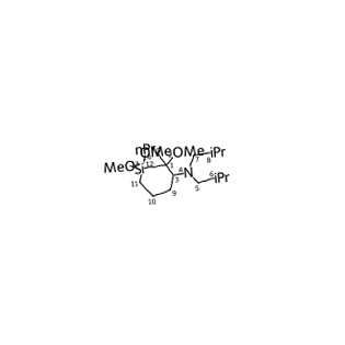 CCCC1(OC)C(N(CC(C)C)CC(C)C)CCC[Si]1(OC)OC